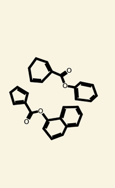 O=C(Oc1cccc2ccccc12)C1=CCC=C1.O=C(Oc1ccccc1)C1=CCCC=C1